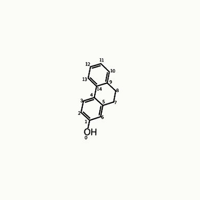 Oc1ccc2c(c1)CCc1ccccc1-2